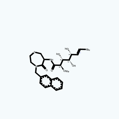 CO[C@@H](C(=O)NC1CSCCN(Cc2ccc3ccccc3c2)C1=O)[C@H](O)[C@@H](O)[C@H](O)/C=C/C(C)(C)C